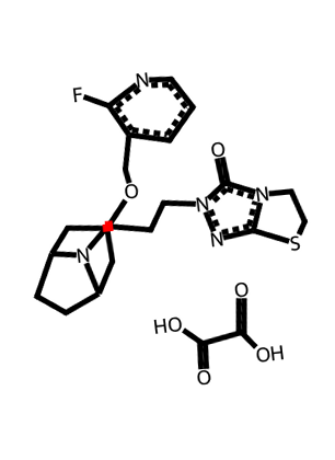 O=C(O)C(=O)O.O=c1n(CCCN2C3CCC2CC(OCc2cccnc2F)C3)nc2n1CCS2